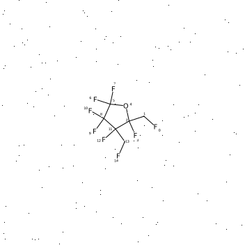 FCC1(F)OC(F)(F)C(F)(F)C1(F)CF